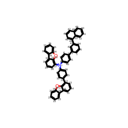 c1cc(-c2ccc(N(c3ccc(-c4cccc5c4oc4ccccc45)cc3)c3cccc4c3oc3ccccc34)cc2)cc(-c2cccc3ccccc23)c1